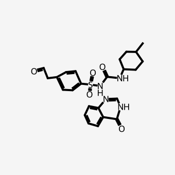 CC1CCC(NC(=O)NS(=O)(=O)c2ccc(CC=O)cc2)CC1.O=c1[nH]cnc2ccccc12